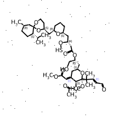 COC(=O)/C=C1\C[C@@H](C[C@H](CO)OC(=O)C[C@@H](C[C@@H]2CCC[C@H](C[C@@H]3CCOC4(C[C@H](C)CC[C@H]4C(C)C)O3)O2)OS)O[C@@](OC)(C(C)(C)/C=C/C=O)[C@H]1OC(C)=O